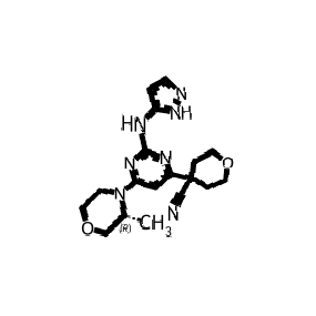 C[C@@H]1COCCN1c1cc(C2(C#N)CCOCC2)nc(Nc2ccn[nH]2)n1